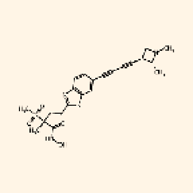 C[C@@H]1[C@@H](C#CC#Cc2ccc3nc(CC[C@](C)(C(=O)NO)S(C)(=O)=O)sc3c2)CN1C